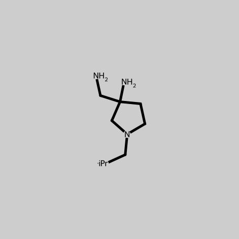 C[C](C)CN1CCC(N)(CN)C1